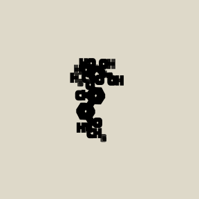 CNC(=O)c1cccc(-c2cccc(OC3O[C@H](CO)[C@@H](O)[C@H](O)[C@]3(C)O)c2Cl)c1